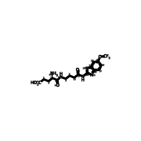 N[C@@H](CCC(=O)O)C(=O)NCCCC(=O)Nc1nc2ccc(OC(F)(F)F)cc2s1